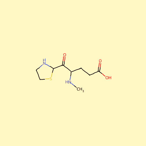 CNC(CCC(=O)O)C(=O)C1NCCS1